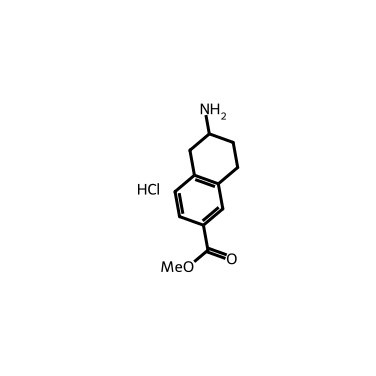 COC(=O)c1ccc2c(c1)CCC(N)C2.Cl